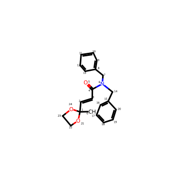 CC1(C=CC(=O)N(Cc2ccccc2)Cc2ccccc2)OCCO1